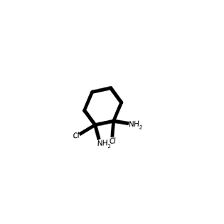 NC1(Cl)CCCCC1(N)Cl